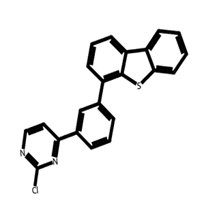 Clc1nccc(-c2cccc(-c3cccc4c3sc3ccccc34)c2)n1